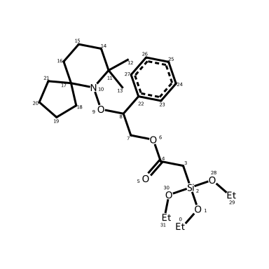 CCO[Si](CC(=O)OCC(ON1C(C)(C)CCCC12CCCC2)c1ccccc1)(OCC)OCC